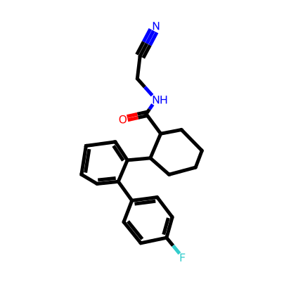 N#CCNC(=O)C1CCCCC1c1ccccc1-c1ccc(F)cc1